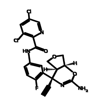 C#C[C@]1(c2cc(NC(=O)c3ncc(Cl)cc3Cl)ccc2F)N=C(N)O[C@@H]2COC[C@@H]21